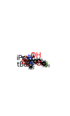 Cc1nc(CO)c(-c2ccc3c(c2)CCC(c2ccc(F)cc2)O3)c(N2CCC(C)(C)CC2)c1C(OC(C)(C)C)C(=O)OC(C)C